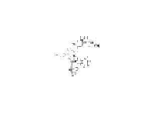 Cc1cc(Oc2ccc(CCC(=O)O)c(C)c2)cc(Oc2ccc(C(F)(F)F)cc2-c2ccccc2)c1